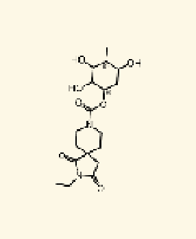 CCN1C(=O)CC2(CCN(C(=O)O[C@@H]3CC(O)[C@H](C)C(O)C3O)CC2)C1=O